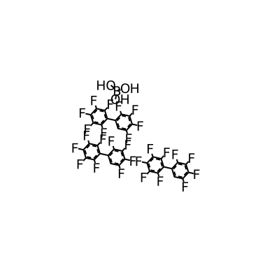 Fc1cc(-c2c(F)c(F)c(F)c(F)c2F)c(F)c(F)c1F.Fc1cc(-c2c(F)c(F)c(F)c(F)c2F)c(F)c(F)c1F.Fc1cc(-c2c(F)c(F)c(F)c(F)c2F)c(F)c(F)c1F.OB(O)O